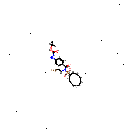 CC(C)(C)OC(=O)Nc1ccc(C(=O)N(CCS)S(=O)(=O)C2CCCCCCCCC2)cc1